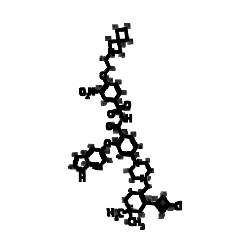 CC1(C)CCC(CN2CCN(c3ccc(C(=O)NS(=O)(=O)c4ccc(OCCN5CC6(CCC6)C5)c([N+](=O)[O-])c4)c(Oc4cnc5[nH]ccc5c4)c3)CC2)=C(C23CC(Cl)(C2)C3)C1